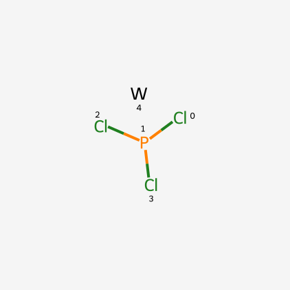 ClP(Cl)Cl.[W]